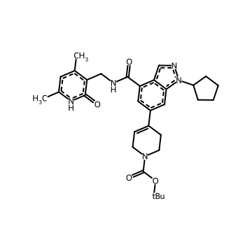 Cc1cc(C)c(CNC(=O)c2cc(C3=CCN(C(=O)OC(C)(C)C)CC3)cc3c2cnn3C2CCCC2)c(=O)[nH]1